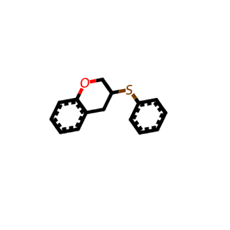 c1ccc(SC2COc3ccccc3C2)cc1